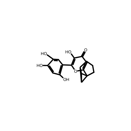 O=c1cc(C23CCCC4C2C43)oc(-c2cc(O)c(O)cc2O)c1O